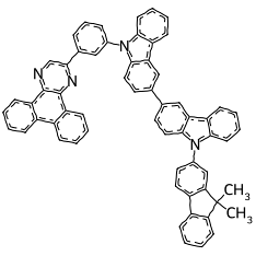 CC1(C)c2ccccc2-c2ccc(-n3c4ccccc4c4cc(-c5ccc6c(c5)c5ccccc5n6-c5cccc(-c6cnc7c8ccccc8c8ccccc8c7n6)c5)ccc43)cc21